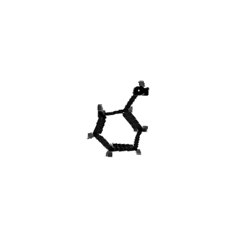 [Os][c]1ccccn1